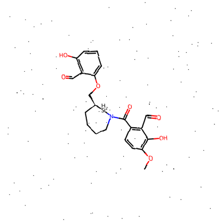 COc1ccc(C(=O)N2CCCC[C@@H](COc3cccc(O)c3C=O)[SiH2]2)c(C=O)c1O